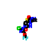 CC[C@@H]1CNc2c(sc3ccc4nc(Oc5nc(Cl)ncc5COCC(F)F)ccc4c23)C(=O)N1